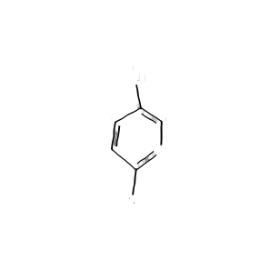 Nc1ccc(S)c[siH]1